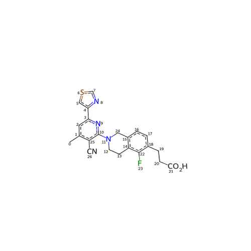 Cc1cc(-c2cscn2)nc(N2CCc3c(ccc(CCC(=O)O)c3F)C2)c1C#N